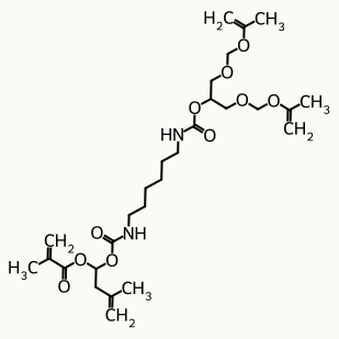 C=C(C)CC(OC(=O)NCCCCCCNC(=O)OC(COCOC(=C)C)COCOC(=C)C)OC(=O)C(=C)C